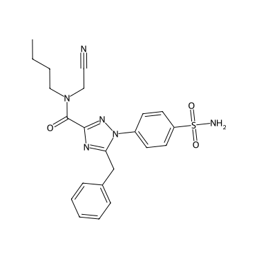 CCCCN(CC#N)C(=O)c1nc(Cc2ccccc2)n(-c2ccc(S(N)(=O)=O)cc2)n1